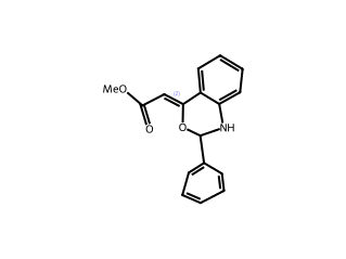 COC(=O)/C=C1\OC(c2ccccc2)Nc2ccccc21